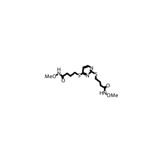 CONC(=O)CCCSc1ccnc(SCCCC(=O)NOC)n1